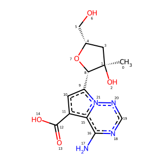 C[C@@]1(O)C[C@@H](CO)O[C@H]1c1cc(C(=O)O)c2c(N)ncnn12